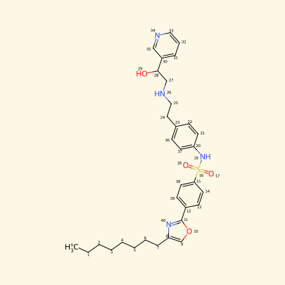 CCCCCCCCc1coc(-c2ccc(S(=O)(=O)Nc3ccc(CCNCC(O)c4cccnc4)cc3)cc2)n1